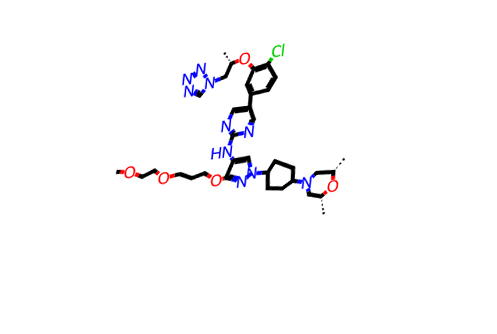 COCCOCCCOc1nn(C2CCC(N3C[C@@H](C)O[C@@H](C)C3)CC2)cc1Nc1ncc(-c2ccc(Cl)c(O[C@@H](C)Cn3cnnn3)c2)cn1